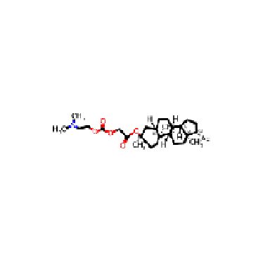 CC(=O)[C@H]1CC[C@H]2[C@@H]3CC[C@H]4C[C@](C)(OC(=O)COC(=O)OCCN(C)C)CC[C@]4(C)[C@H]3CC[C@]12C